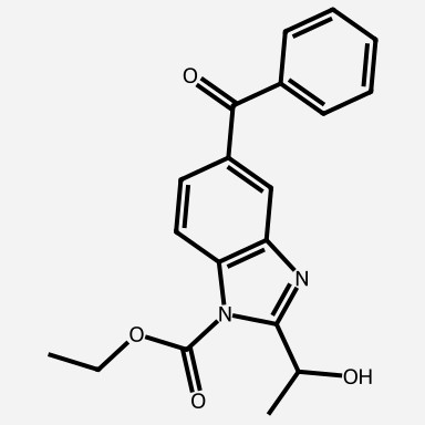 CCOC(=O)n1c(C(C)O)nc2cc(C(=O)c3ccccc3)ccc21